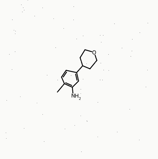 Cc1ccc(C2CCOCC2)cc1N